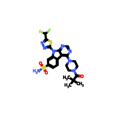 CC(C)(C)C(=O)N1CCN(c2ncnc3c2c2ccc(S(N)(=O)=O)cc2n3-c2nnc(C(F)F)s2)CC1